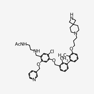 CC(=O)NCCNCc1cc(Cl)c(OCc2cccc(-c3cccc(OCCCN4CCC5(CC4)CNC5)c3C)c2C)cc1OCc1cccnc1